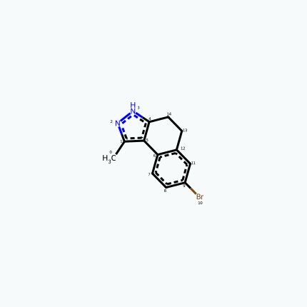 Cc1n[nH]c2c1-c1ccc(Br)cc1CC2